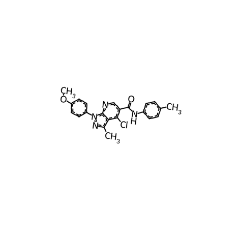 COc1ccc(-n2nc(C)c3c(Cl)c(C(=O)Nc4ccc(C)cc4)cnc32)cc1